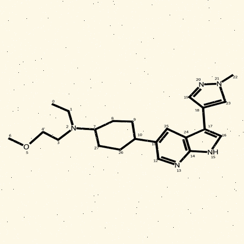 CCN(CCOC)C1CCC(c2cnc3[nH]cc(-c4cnn(C)c4)c3c2)CC1